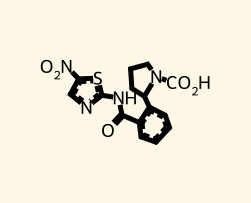 O=C(Nc1ncc([N+](=O)[O-])s1)c1ccccc1C1CCCN1C(=O)O